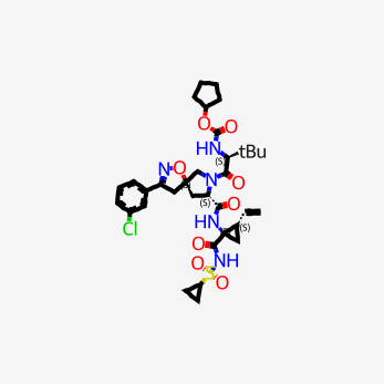 C=C[C@@H]1C[C@]1(NC(=O)[C@@H]1C[C@]2(CC(c3cccc(Cl)c3)=NO2)CN1C(=O)[C@@H](NC(=O)OC1CCCC1)C(C)(C)C)C(=O)NS(=O)(=O)C1CC1